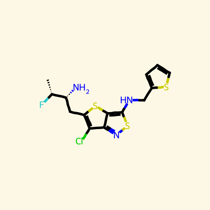 C[C@@H](F)[C@H](N)Cc1sc2c(NCc3cccs3)snc2c1Cl